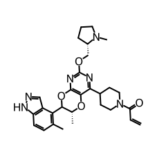 C=CC(=O)N1CCC(c2nc(OC[C@@H]3CCCN3C)nc3c2O[C@H](C)C(c2c(C)ccc4[nH]ncc24)O3)CC1